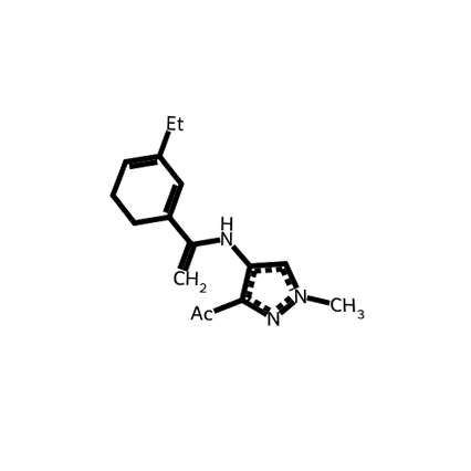 C=C(Nc1cn(C)nc1C(C)=O)C1=CC(CC)=CCC1